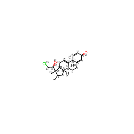 CC1C[C@H]2[C@@H]3CCC4=CC(=O)C=C[C@]4(C)C3=CC[C@]2(C)[C@@]1(C)C(=O)CCl